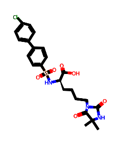 CC1(C)NC(=O)N(CCCC[C@@H](NS(=O)(=O)c2ccc(-c3ccc(Cl)cc3)cc2)C(=O)O)C1=O